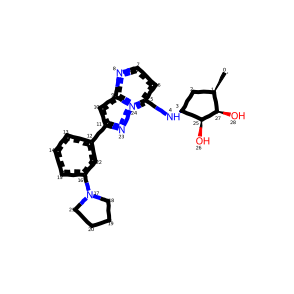 [CH2][C@@H]1C[C@@H](Nc2ccnc3cc(-c4cccc(N5CCCC5)c4)nn23)[C@H](O)[C@@H]1O